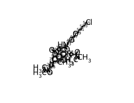 CN(C)C(=O)C1CN(c2ccc3c(c2)[Si](C)(C)c2cc(N4CC(C(=O)N(C)C)C4)ccc2C32OC(=O)c3ccc(C(=O)NCCOCCOCCCCCCCl)cc32)C1